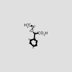 C=NOC(C(=O)O)c1ccccc1